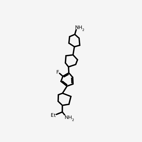 CCC(N)C1CCC(c2ccc(C3CCC(C4CCC(N)CC4)CC3)c(F)c2)CC1